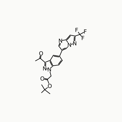 CC(=O)c1nn(CC(=O)OC(C)(C)C)c2ccc(-c3cnc4cc(C(F)(F)F)nn4c3)cc12